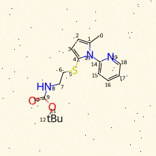 Cc1ccc(SCCNC(=O)OC(C)(C)C)n1-c1ccccn1